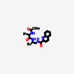 CCC(C)C(CNC(=O)c1ccc2ccccc2n1)NC(=O)C(NC(=O)OC)C(C)C